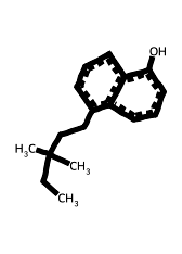 CCC(C)(C)CCc1cccc2c(O)cccc12